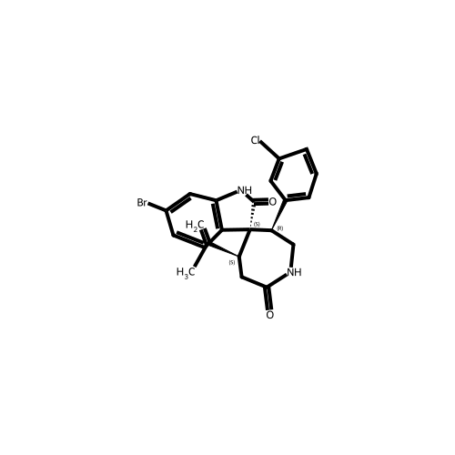 C=C(C)[C@@H]1CC(=O)NC[C@H](c2cccc(Cl)c2)[C@@]12C(=O)Nc1cc(Br)ccc12